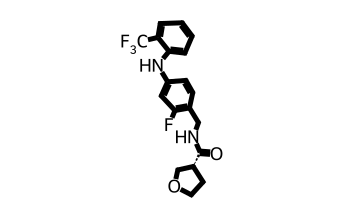 O=C(NCc1ccc(Nc2ccccc2C(F)(F)F)cc1F)[C@@H]1CCOC1